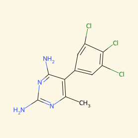 Cc1nc(N)nc(N)c1-c1cc(Cl)c(Cl)c(Cl)c1